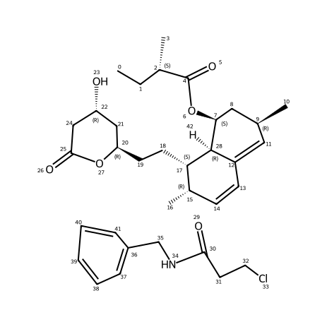 CC[C@H](C)C(=O)O[C@H]1C[C@@H](C)C=C2C=C[C@H](C)[C@H](CC[C@@H]3C[C@@H](O)CC(=O)O3)[C@H]21.O=C(CCCl)NCc1ccccc1